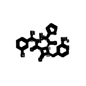 CC[C@@H](NC(=O)N1C(=O)[C@H](Cc2ccnc(N)c2)[C@H]1C(=O)N(C)c1cccs1)c1cccc(Cl)c1